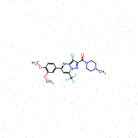 COc1ccc(-c2cc(C(F)(F)F)n3nc(C(=O)N4CCN(C)CC4)c(Cl)c3n2)cc1OC